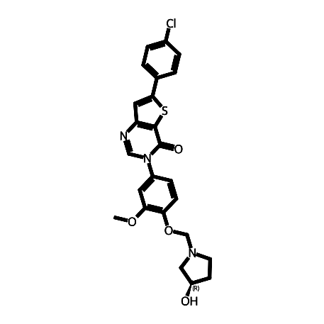 COc1cc(-n2cnc3cc(-c4ccc(Cl)cc4)sc3c2=O)ccc1OCN1CC[C@@H](O)C1